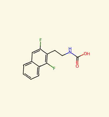 O=C(O)NCCc1c(F)cc2ccccc2c1F